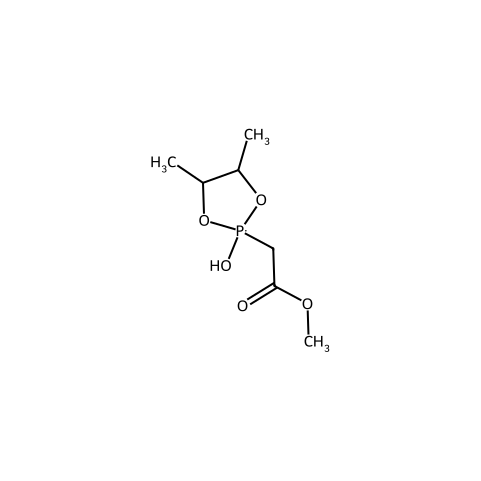 COC(=O)C[P]1(O)OC(C)C(C)O1